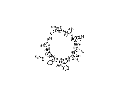 CN[C@H]1CCCCNC(=O)[C@H](CC(C)C)NC(=O)[C@H](CCC(N)=O)NC(=O)[C@H](Cc2ccccc2)NC(=O)[C@H](Cc2c[nH]c3ccccc23)NC(=O)[C@H]([C@@H](C)O)NC(=O)[C@H]([C@@H](C)O)NC(=O)[C@H](CC(=O)O)NC(=O)[C@H](CO)NC1=O